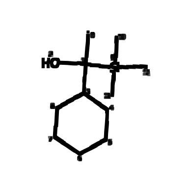 [CH2]C(O)(C1CCCCC1)[Si](C)(C)C